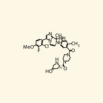 COc1ccc(-c2cnc3n2C=CNC3(C)Nc2ccc(C(=O)N3CCN(C(=O)[C@@H]4C[C@@H](O)CN4)CC3)c(C)c2)c(Cl)c1F